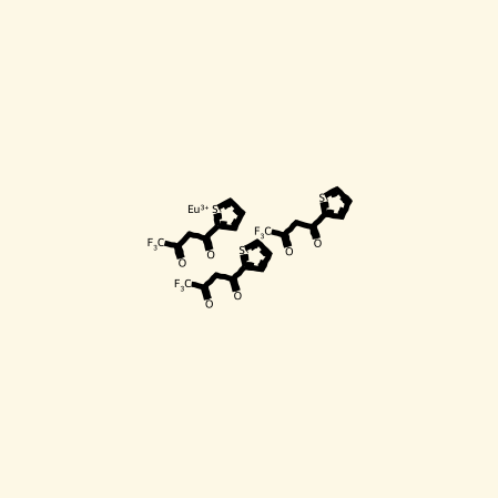 O=C(CC(=O)C(F)(F)F)c1cccs1.O=C(CC(=O)C(F)(F)F)c1cccs1.O=C(CC(=O)C(F)(F)F)c1cccs1.[Eu+3]